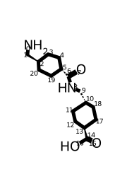 NC[C@H]1CC[C@H](C(=O)NC[C@H]2CC[C@H](C(=O)O)CC2)CC1